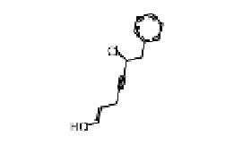 OC=CCC#CC(Cl)Cc1ccccc1